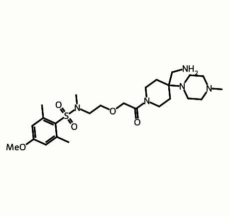 COc1cc(C)c(S(=O)(=O)N(C)CCOCC(=O)N2CCC(CN)(N3CCN(C)CC3)CC2)c(C)c1